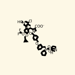 O=C([O-])C1CN(C(=O)c2ccc(COc3cccc(CN(C(=O)O[C@H]4CN5CCC4CC5)c4ccccc4)c3)cc2)C1[C@@H](Cc1c(Cl)c[n+](O)cc1Cl)c1ccc(OC(F)F)c(OCC2CC2)c1